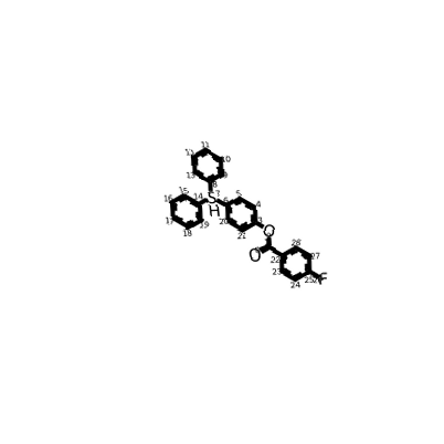 O=C(Oc1ccc([SH](c2ccccc2)c2ccccc2)cc1)c1ccc(F)cc1